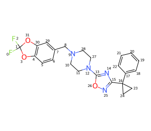 FC1(F)Oc2ccc(CN3CCN(c4nc(C5(c6ccccc6)CC5)no4)CC3)cc2O1